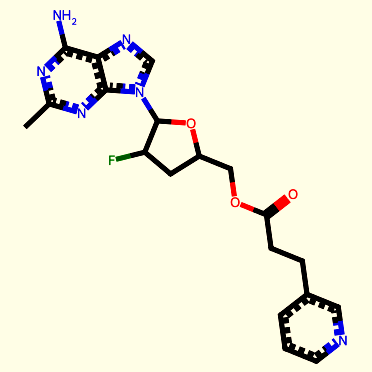 Cc1nc(N)c2ncn(C3OC(COC(=O)CCc4cccnc4)CC3F)c2n1